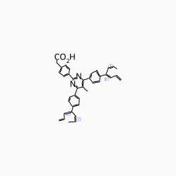 C=C/C=C(\C=C/C)c1ccc(-c2nc(-c3ccc(CC(=O)O)cc3)nc(-c3ccc(C(/C=C\C)=C/C=C)cc3)c2C)cc1